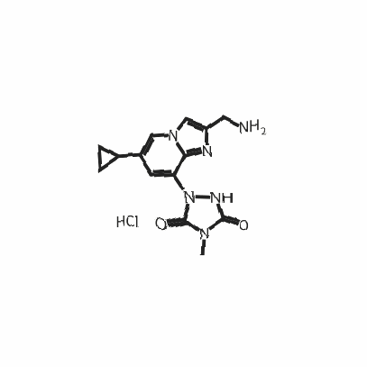 Cl.Cn1c(=O)[nH]n(-c2cc(C3CC3)cn3cc(CN)nc23)c1=O